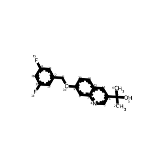 CC(C)(O)c1cnc2cc(OCc3cc(F)cc(F)c3)ccc2c1